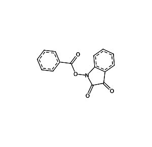 O=C(ON1C(=O)C(=O)c2ccccc21)c1ccccc1